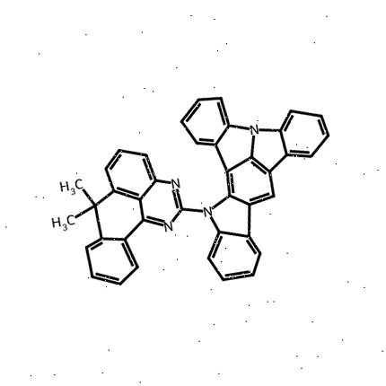 CC1(C)c2ccccc2-c2nc(-n3c4ccccc4c4cc5c6ccccc6n6c7ccccc7c(c43)c56)nc3cccc1c23